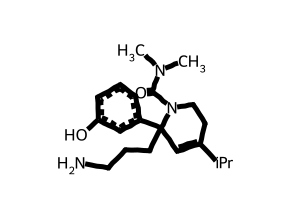 CC(C)C1=CC(CCCN)(c2cccc(O)c2)N(C(=O)N(C)C)CC1